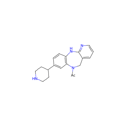 CC(=O)N1Cc2cccnc2Nc2ccc(C3CCNCC3)cc21